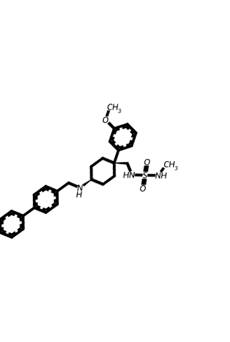 CNS(=O)(=O)NC[C@]1(c2cccc(OC)c2)CC[C@H](NCc2ccc(-c3ccccc3)cc2)CC1